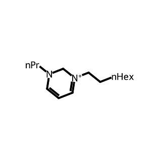 CCCCCCCC[N+]1=CC=CN(CCC)C1